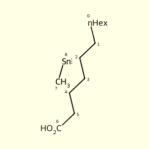 CCCCCCCCCCCC(=O)O.[CH3][Sn]